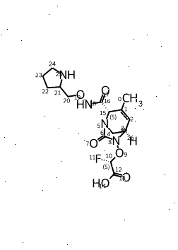 CC1=C[C@@H]2CN(C(=O)N2O[C@@H](F)C(=O)O)[C@@H]1C(=O)NOCC1CCCN1